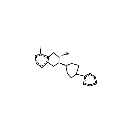 O[C@H]1Cc2c(I)cccc2C[C@@H]1N1CCC(c2ccccc2)CC1